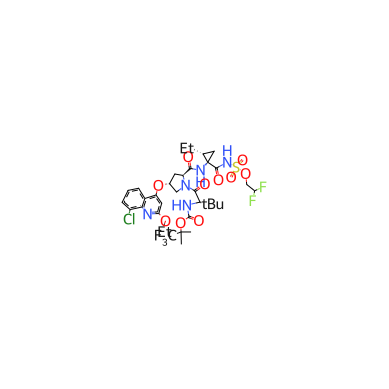 CCOc1cc(O[C@@H]2C[C@@H](C(=O)N[C@]3(C(=O)NS(=O)(=O)OCC(F)F)C[C@H]3CC)N(C(=O)[C@@H](NC(=O)OC(C)(C)C(F)(F)F)C(C)(C)C)C2)c2cccc(Cl)c2n1